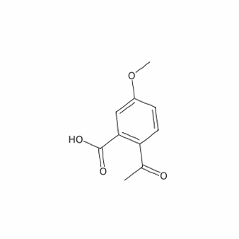 COc1ccc(C(C)=O)c(C(=O)O)c1